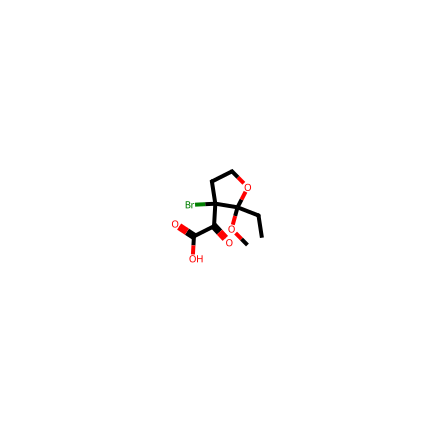 CCC1(OC)OCCC1(Br)C(=O)C(=O)O